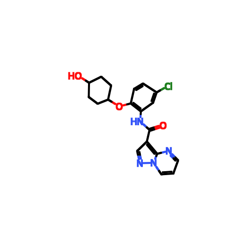 O=C(Nc1cc(Cl)ccc1OC1CCC(O)CC1)c1cnn2cccnc12